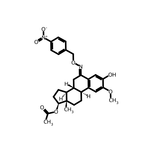 COc1cc2c(cc1O)/C(=N/OCc1ccc([N+](=O)[O-])cc1)C[C@@H]1[C@@H]2CC[C@]2(C)[C@@H](OC(C)=O)CC[C@@H]12